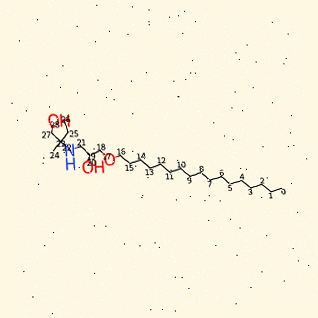 CCCCCCCCCCCCCCCCCOCC(O)CNC(C)(CC)CO